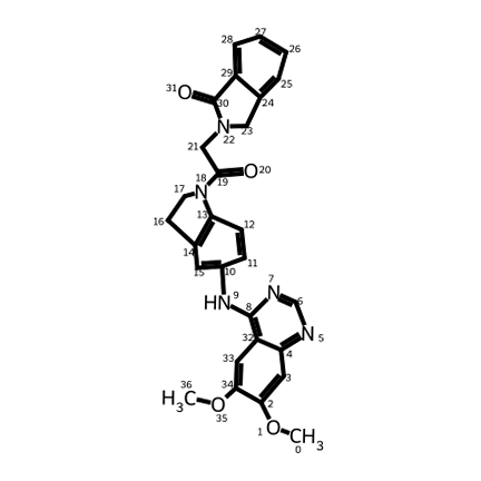 COc1cc2ncnc(Nc3ccc4c(c3)CCN4C(=O)CN3Cc4ccccc4C3=O)c2cc1OC